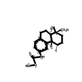 C[C@H]1CC[C@](C)(C(=O)O)[C@@H]2CCc3ccc(NC(=O)OC(C)(C)C)cc3[C@H]21